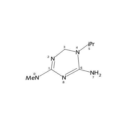 CNC1=NCN(C(C)C)C(N)=N1